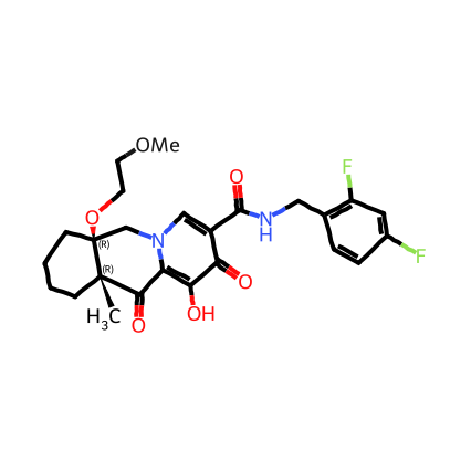 COCCO[C@]12CCCC[C@@]1(C)C(=O)c1c(O)c(=O)c(C(=O)NCc3ccc(F)cc3F)cn1C2